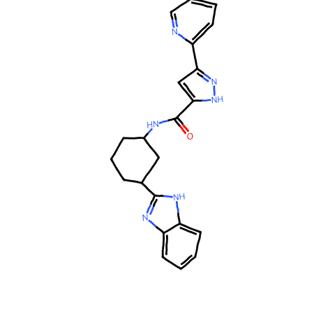 O=C(NC1CCCC(c2nc3ccccc3[nH]2)C1)c1cc(-c2ccccn2)n[nH]1